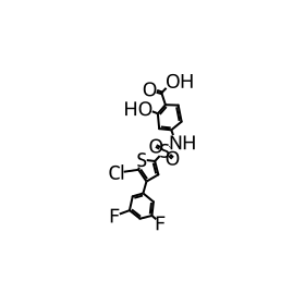 O=C(O)c1ccc(NS(=O)(=O)c2cc(-c3cc(F)cc(F)c3)c(Cl)s2)cc1O